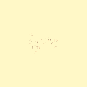 O=C(c1cccnc1Oc1ccc(Nc2ccccn2)cc1)N1CC=CC1